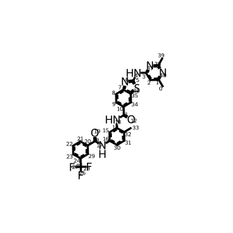 Cc1cc(Nc2nc3ccc(C(=O)Nc4cc(NC(=O)c5cccc(C(F)(F)F)c5)ccc4C)cc3s2)nc(C)n1